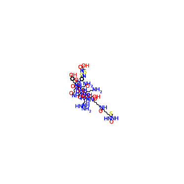 N=C(N)NCCCC(NC(=O)C(CO)NC(=O)CCCCCNC(=O)CCCCC1SCC2NC(=O)NC21)C(=O)NC(CCCCN)C(=O)NC(CO)C(=O)NC(CCC(N)=O)C(=O)NC(CCC(N)=O)C(=O)NC(Cc1ccc(O)cc1)C(=O)Nc1ccc2nc(C3=NC(C(=O)O)CS3)sc2c1